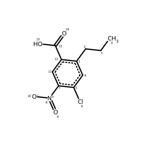 CCCc1cc(Cl)c([N+](=O)[O-])cc1C(=O)O